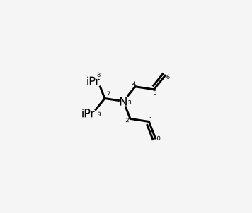 C=CCN(CC=C)C(C(C)C)C(C)C